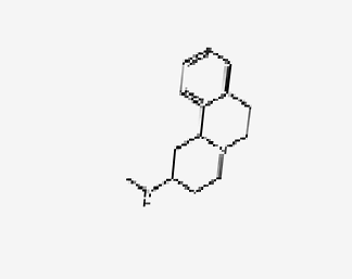 CNC1CCN2CCc3ccccc3C2C1